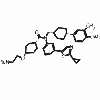 CNCCO[C@H]1CC[C@H](C(=O)N(C[C@H]2CC[C@H](c3ccc(OC)c(C)c3)CC2)c2cccc(-c3cnc(C4CC4)s3)c2)CC1